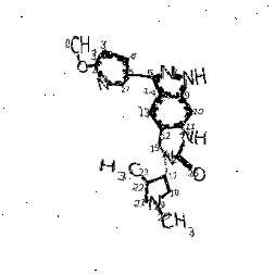 COc1ccc(-c2n[nH]c3cc4c(cc23)CN([C@@H]2CN(C)C[C@H]2C)C(=O)N4)cn1